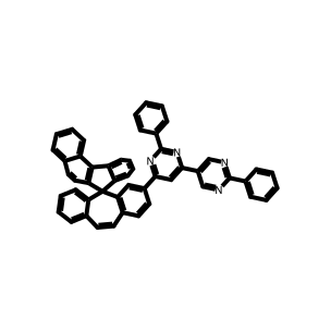 C1=Cc2ccc(-c3cc(-c4cnc(-c5ccccc5)nc4)nc(-c4ccccc4)n3)cc2C2(c3ccccc31)c1ccccc1-c1c2ccc2ccccc12